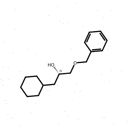 O[C@H](COCc1ccccc1)CC1CCCCC1